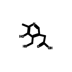 Cc1ncc(CC(=O)O)c(CS)c1O